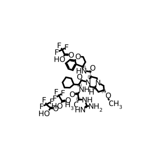 CCO[C@@H]1C[C@@H]2CN(C(=O)[C@@H](NC(=O)[C@H](C)NC(=N)N)C3CCCCC3)[C@H](C(=O)N[C@@H]3CCOc4ccccc43)CN2C1.O=C(O)C(F)(F)F.O=C(O)C(F)(F)F.O=C(O)C(F)(F)F